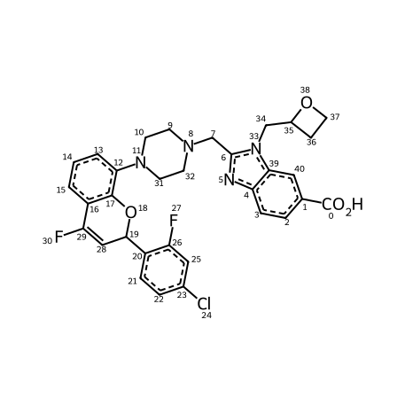 O=C(O)c1ccc2nc(CN3CCN(c4cccc5c4OC(c4ccc(Cl)cc4F)C=C5F)CC3)n(CC3CCO3)c2c1